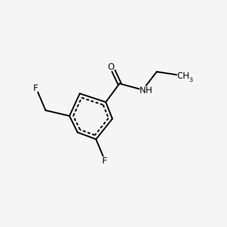 CCNC(=O)c1cc(F)cc(CF)c1